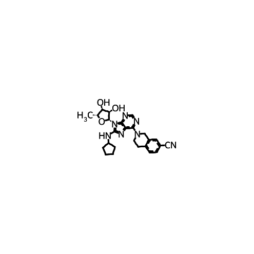 C[C@H]1O[C@@H](n2c(NC3CCCC3)nc3c(N4CCc5ccc(C#N)cc5C4)ncnc32)[C@H](O)[C@@H]1O